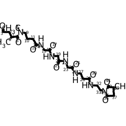 CC(CC=O)C(=O)N(C)CCCC(=O)NCC(=O)NCC(=O)NCC(=O)NCCC(=O)NCCN1C(=O)CC(C)C1=O